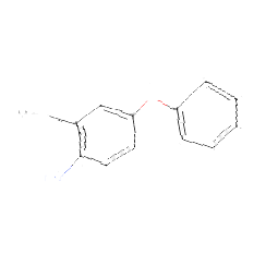 COc1cc(Oc2ccccc2)ccc1N